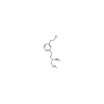 CCC(N)CCc1cccc(CCCl)c1